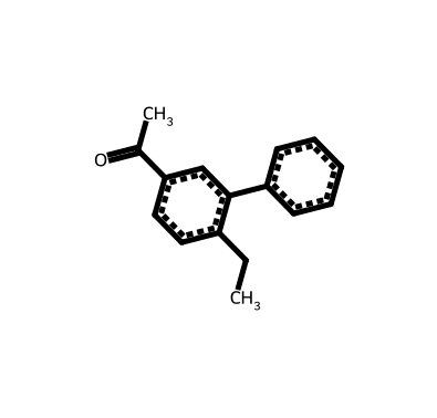 CCc1ccc(C(C)=O)cc1-c1ccccc1